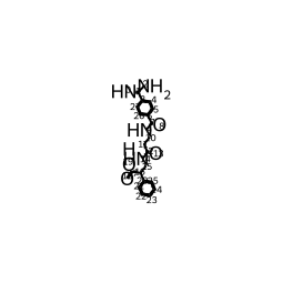 N=C(N)c1ccc(C(=O)NCCC(=O)NCC(C(=O)O)c2ccccc2)cc1